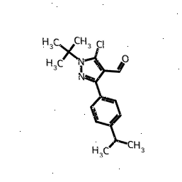 CC(C)c1ccc(-c2nn(C(C)(C)C)c(Cl)c2C=O)cc1